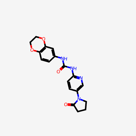 O=C(Nc1ccc2c(c1)OCCO2)Nc1ccc(N2CCCC2=O)cn1